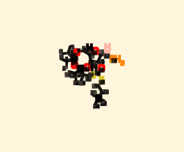 CC(C)[Si]1(C(C)C)OC[C@H]2O[C@@H](BP)C(OC(=S)SCC[Si](C)(C)C)[C@H]2O[Si](C(C)C)(C(C)C)O1